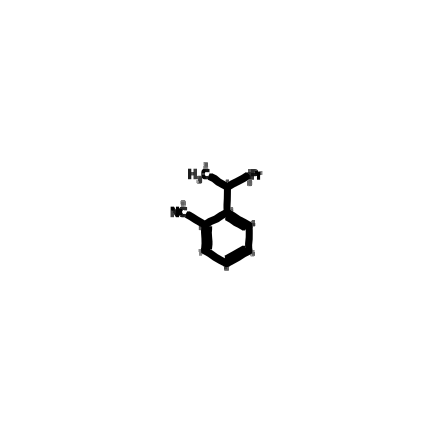 CC(C)C(C)c1ccccc1C#N